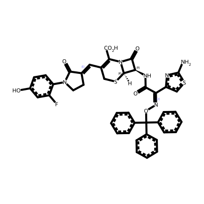 Nc1nc(/C(=N/OC(c2ccccc2)(c2ccccc2)c2ccccc2)C(=O)N[C@@H]2C(=O)N3C(C(=O)O)=C(/C=C4\CCN(c5ccc(O)cc5F)C4=O)CS[C@H]23)cs1